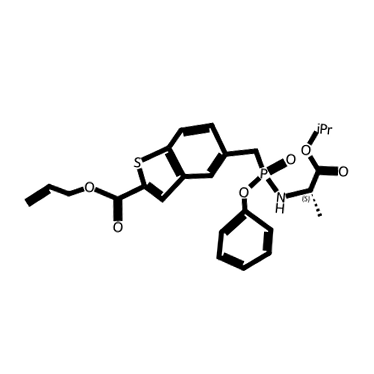 C=CCOC(=O)c1cc2cc(CP(=O)(N[C@@H](C)C(=O)OC(C)C)Oc3ccccc3)ccc2s1